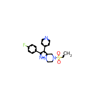 C=CS(=O)(=O)N1CCn2nc(-c3ccc(F)cc3)c(-c3ccncc3)c2C1